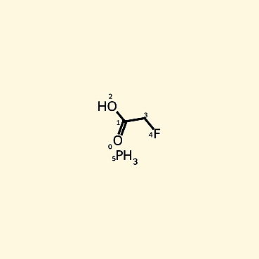 O=C(O)CF.P